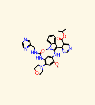 COc1cc(N2CCOCC2)c(NC(=O)NCc2cnccn2)cc1Nc1c(-c2ncncc2C(=O)OC(C)C)c2ccccc2n1C